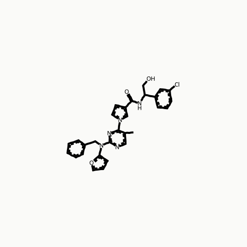 Cc1cnc(N(Cc2ccccc2)c2ccco2)nc1-n1ccc(C(=O)NC(CO)c2cccc(Cl)c2)c1